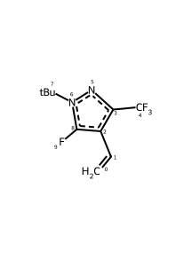 C=Cc1c(C(F)(F)F)nn(C(C)(C)C)c1F